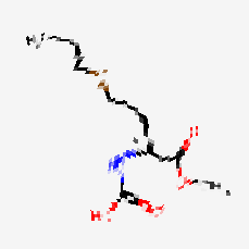 CCCSCC[C@H](NC(=O)O)C(=O)OC